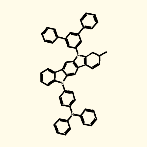 CC1C=Cc2c(n(-c3cc(-c4ccccc4)cc(-c4ccccc4)c3)c3cc4c5ccccc5n(-c5ccc(N(c6ccccc6)c6ccccc6)cc5)c4cc23)C1